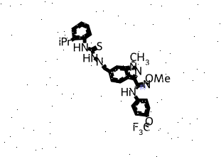 CO/N=C(/Nc1ccc(OC(F)(F)F)cc1)c1nn(C)c2cc(C=NNC(=S)Nc3ccccc3C(C)C)ccc12